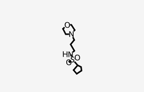 O=S(=O)(NCCCN1CCOCC1)C1CCCC1